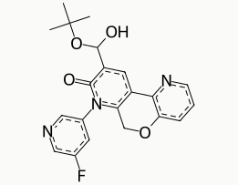 CC(C)(C)OC(O)c1cc2c(n(-c3cncc(F)c3)c1=O)COc1cccnc1-2